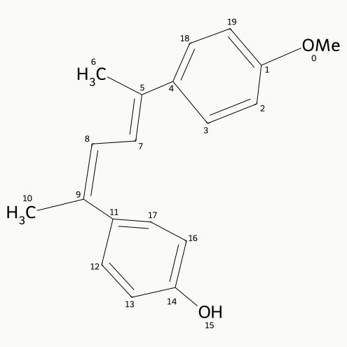 COc1ccc(C(C)=CC=C(C)c2ccc(O)cc2)cc1